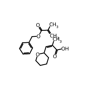 C=C(C)C(=O)OCc1ccccc1.CC(=CC1CCCCO1)C(=O)O